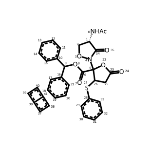 CC(=O)N[C@H]1CON(C2(C(=O)OC(c3ccccc3)c3ccccc3)OC(=O)CC2Sc2ccccc2)C1=O.c1cc2ccc1-2